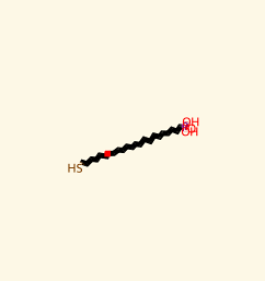 O=P(O)(O)CCCCCCCCCCCCCCCCCCCCCCCS